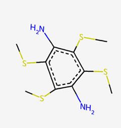 CSc1c(N)c(SC)c(SC)c(N)c1SC